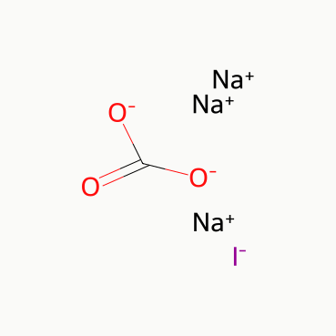 O=C([O-])[O-].[I-].[Na+].[Na+].[Na+]